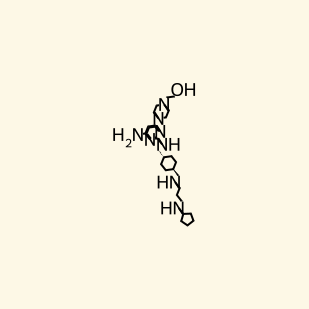 Nc1cc(N2CCN(CCO)CC2)nc(NC[C@H]2CC[C@H](CNCCCNC3CCCC3)CC2)n1